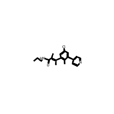 CCCNC(=O)/C(C)=C(\C)c1cc(Cl)cc(-c2ccncc2)c1C